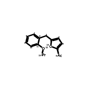 CC(=O)c1ccc(Cc2ccccc2OC(C)C)o1